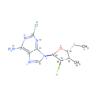 CC[C@H]1O[C@H](n2cnc3c(N)nc(Cl)nc32)[C@H](F)C1C